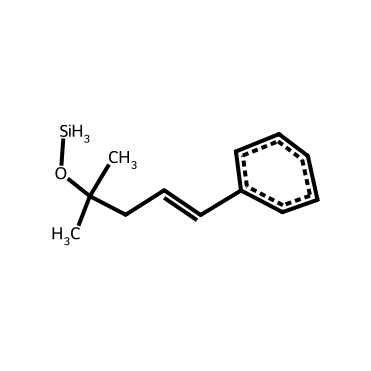 CC(C)(CC=Cc1ccccc1)O[SiH3]